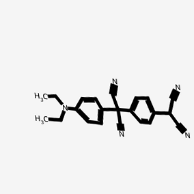 CCN(CC)c1ccc(C(C#N)(C#N)c2ccc(C(C#N)C#N)cc2)cc1